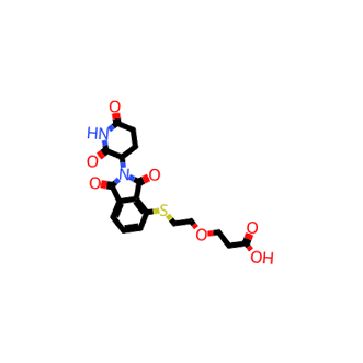 O=C(O)CCOCCSc1cccc2c1C(=O)N(C1CCC(=O)NC1=O)C2=O